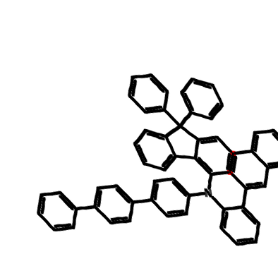 c1ccc(-c2ccc(-c3ccc(N(c4ccccc4-c4ccc5ccccc5c4)c4cccc5c4-c4ccccc4C5(c4ccccc4)c4ccccc4)cc3)cc2)cc1